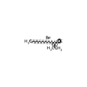 C=C(C)C(=O)OC(CCCCCCCCCCCCCCCCC)[n+]1ccccc1.[Br-]